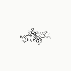 CCC(CC)C(C)CCOC(=O)c1c(Cl)c(Cl)cc(Cl)c1OC(=O)C(=O)Oc1c(Cl)cc(Cl)c(Cl)c1C(=O)OCCC(C)C(CC)CC